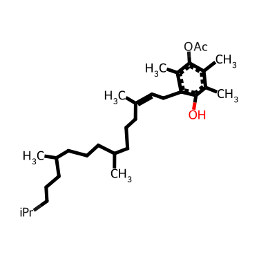 CC(=O)Oc1c(C)c(C)c(O)c(CC=C(C)CCCC(C)CCCC(C)CCCC(C)C)c1C